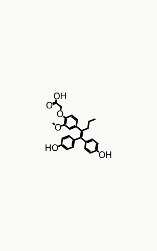 CCCC(=C(c1ccc(O)cc1)c1ccc(O)cc1)c1ccc(OCC(=O)O)c(OC)c1